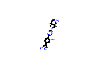 Oc1cc(-c2cn[nH]c2)ccc1-c1cnc(N2C[C@H]3CNCC[C@H]3C2)nn1